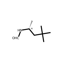 C[C@H](CC(C)(C)C)NC=O